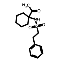 CC(=O)C1(NS(=O)(=O)CCc2ccccc2)CCCCC1